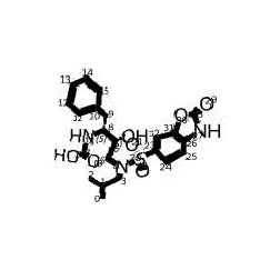 CC(C)CN(C[C@H](O)[C@H](Cc1ccccc1)NC(=O)O)S(=O)(=O)c1ccc2[nH]c(=O)oc2c1